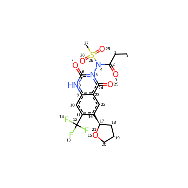 CCC(=O)N(n1c(=O)[nH]c2cc(C(F)(F)F)c([C@H]3CCCO3)cc2c1=O)S(C)(=O)=O